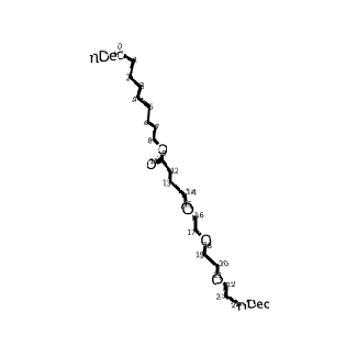 CCCCCCCCCCCCCCCCCCOC(=O)CCCOCCOCCOCCCCCCCCCCCC